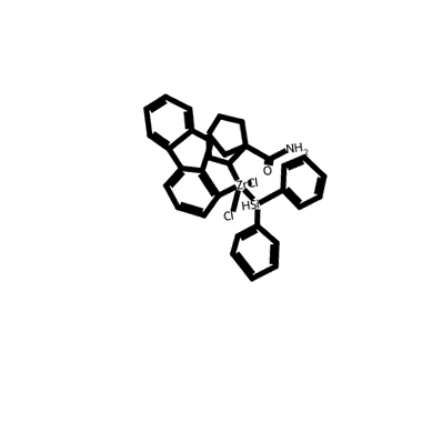 NC(=O)C12CCC(C[CH]1[Zr]([Cl])([Cl])([c]1cccc3c1Cc1ccccc1-3)[SiH](c1ccccc1)c1ccccc1)C2